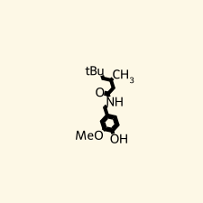 COc1cc(CNC(=O)CC(C)CC(C)(C)C)ccc1O